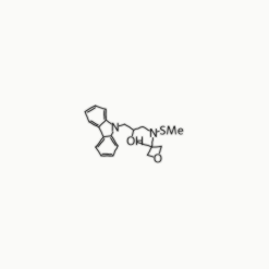 CSN(CC(O)Cn1c2ccccc2c2ccccc21)C1(C)COC1